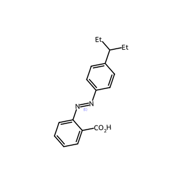 CCC(CC)c1ccc(/N=N/c2ccccc2C(=O)O)cc1